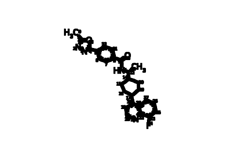 Cc1nnc(-c2ccc(C(=O)N[C@H](C)C3CCC(c4ccnc5c(F)cccc45)CC3)cc2)o1